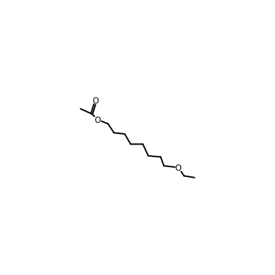 CCOCCCCCCCCOC(C)=O